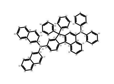 c1ccc(N(c2ccccc2)c2cc3c(c4ccccc24)-c2ccc(N(c4ccc5ccccc5c4)c4ccc5ccccc5c4)cc2C3(c2ccccc2)c2ccccc2)cc1